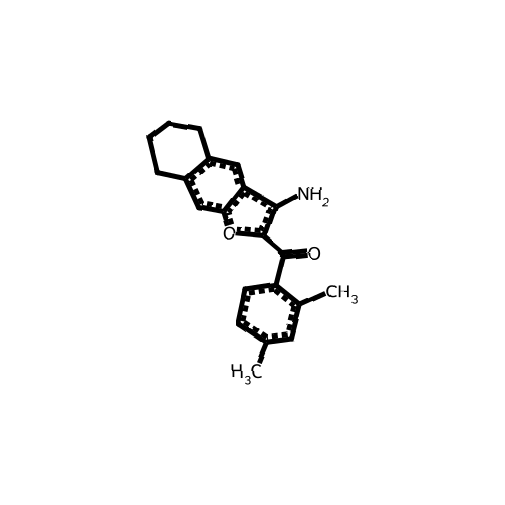 Cc1ccc(C(=O)c2oc3cc4c(cc3c2N)CCCC4)c(C)c1